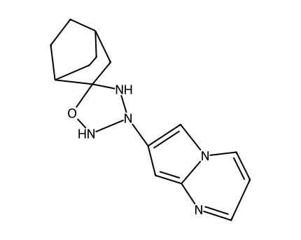 c1cnc2cc(N3NOC4(CC5CCC4CC5)N3)cn2c1